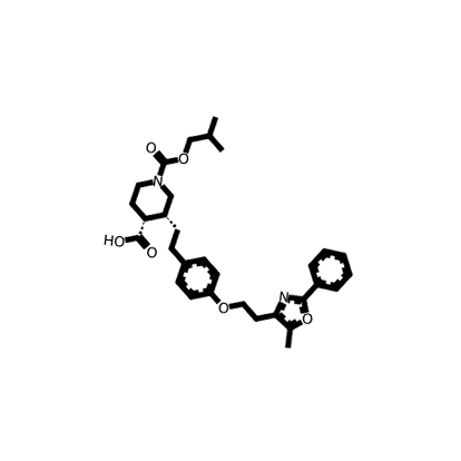 Cc1oc(-c2ccccc2)nc1CCOc1ccc(CC[C@H]2CN(C(=O)OCC(C)C)CC[C@H]2C(=O)O)cc1